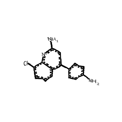 Nc1ccc(-c2cc(N)nc3c(Cl)cccc23)cc1